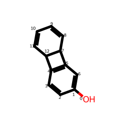 Oc1ccc2c(c1)C1C=CC=CC21